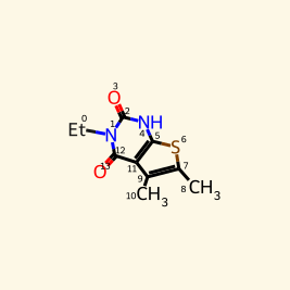 CCn1c(=O)[nH]c2sc(C)c(C)c2c1=O